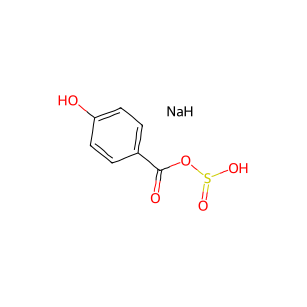 O=C(OS(=O)O)c1ccc(O)cc1.[NaH]